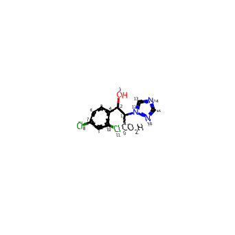 O=C(O)C(C(O)c1ccc(Cl)cc1Cl)n1cncn1